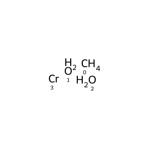 C.O.O.[Cr]